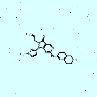 C=CCn1c(=O)c2cnc(Nc3ccc4c(c3)CCNC4)nc2n1-c1ccn(C)n1